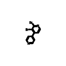 Brc1nccc(-c2ccncc2)c1Br